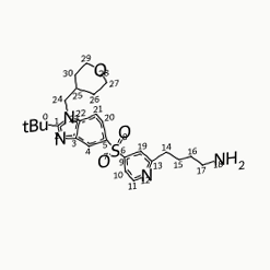 CC(C)(C)c1nc2cc(S(=O)(=O)c3ccnc(CCCCN)c3)ccc2n1CC1CCOCC1